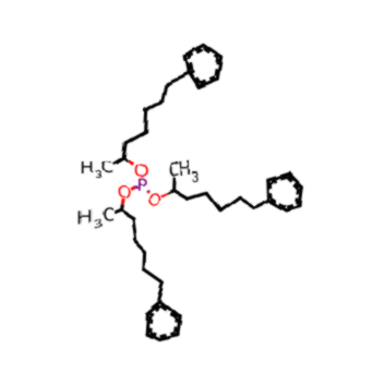 CC(CCCCCc1ccccc1)OP(OC(C)CCCCCc1ccccc1)OC(C)CCCCCc1ccccc1